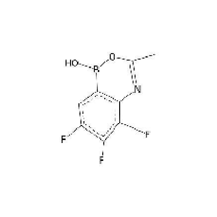 CC1=Nc2c(cc(F)c(F)c2F)B(O)O1